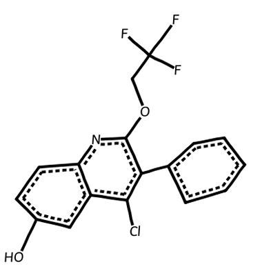 Oc1ccc2nc(OCC(F)(F)F)c(-c3ccccc3)c(Cl)c2c1